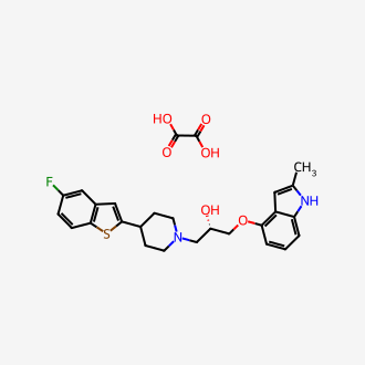 Cc1cc2c(OC[C@@H](O)CN3CCC(c4cc5cc(F)ccc5s4)CC3)cccc2[nH]1.O=C(O)C(=O)O